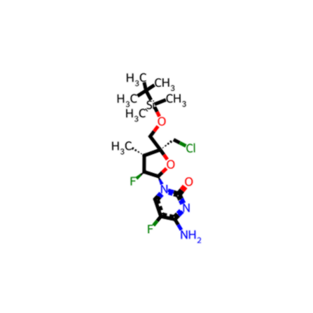 C[C@H]1[C@H](F)[C@H](n2cc(F)c(N)nc2=O)O[C@]1(CCl)CO[Si](C)(C)C(C)(C)C